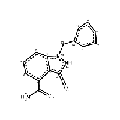 NC(=O)c1[c]ccc2c1c(=O)[nH]n2Cc1ccccc1